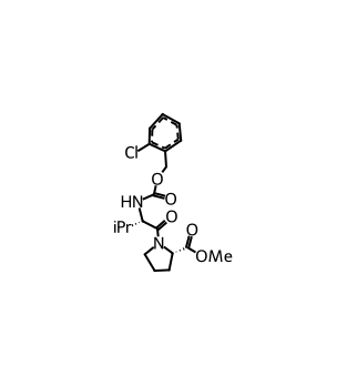 COC(=O)[C@@H]1CCCN1C(=O)[C@@H](NC(=O)OCc1ccccc1Cl)C(C)C